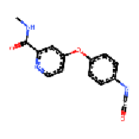 CNC(=O)c1cc(Oc2ccc(N=C=O)cc2)ccn1